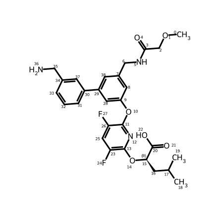 COCC(=O)NCc1cc(Oc2nc(O[C@H](CC(C)C)C(=O)O)c(F)cc2F)cc(-c2cccc(CN)c2)c1